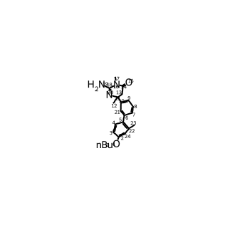 CCCCOc1ccc(-c2cccc(C3(C)CC(=O)N(C)C(N)=N3)c2)c(C)c1